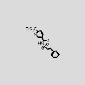 CCOC(=O)c1ccc(C(=O)NS(=O)(=O)CCc2ccccc2)cn1